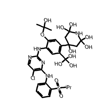 CC(C)S(=O)(=O)c1ccccc1Nc1nc(Nc2cc(C(O)(O)O)c(C3(O)CC(O)(O)NC(O)(O)C3)cc2OC(C)(C)O)ncc1Cl